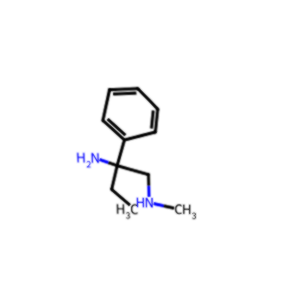 CCC(N)(CNC)c1ccccc1